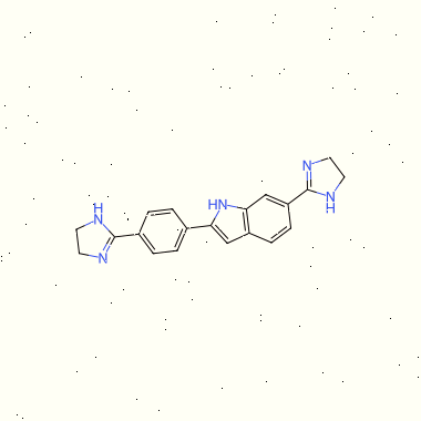 c1cc(-c2cc3ccc(C4=NCCN4)cc3[nH]2)ccc1C1=NCCN1